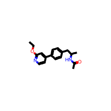 CCOc1cc(-c2ccc(CC(C)NC(C)=O)cc2)ccn1